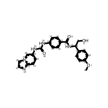 COc1ccc(C(CO)NC(=O)c2ccc(NC(=O)Nc3ccc4nccn4c3)cc2)cc1